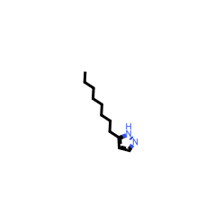 CCCCCCCCc1ccn[nH]1